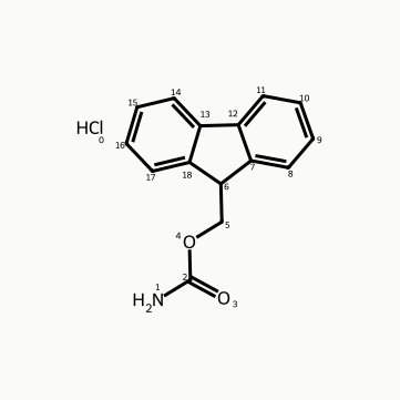 Cl.NC(=O)OCC1c2ccccc2-c2ccccc21